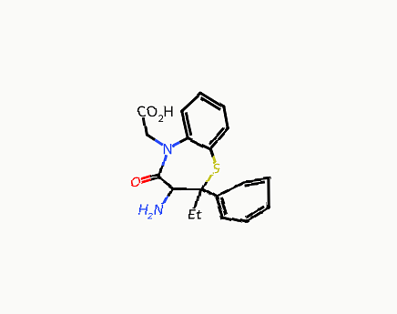 CCC1(c2ccccc2)Sc2ccccc2N(CC(=O)O)C(=O)C1N